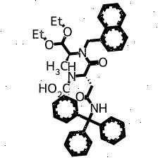 CCOC(OCC)[C@H](C)N(Cc1cccc2ccccc12)C(=O)[C@H](CC(=O)NC(c1ccccc1)(c1ccccc1)c1ccccc1)NC(=O)O